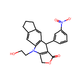 O=C1OCC2=C1C(c1cccc([N+](=O)[O-])c1)c1cc3c(cc1N2CCO)CCC3